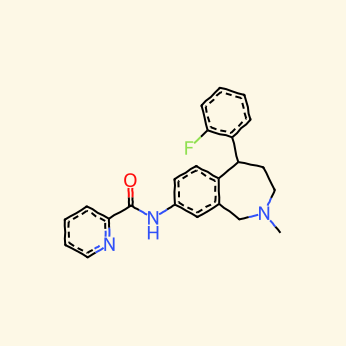 CN1CCC(c2ccccc2F)c2ccc(NC(=O)c3ccccn3)cc2C1